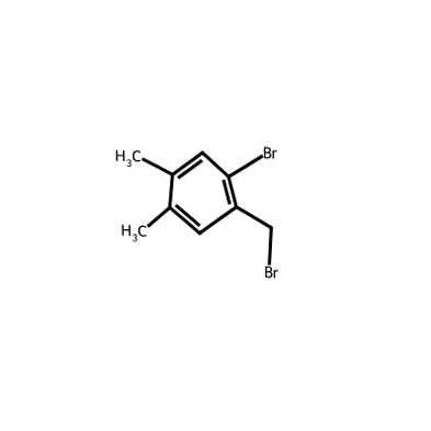 Cc1cc(Br)c(CBr)cc1C